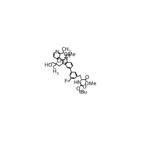 CCn1c(-c2cccnc2[C@H](C)OC)c(CC(C)(C)CO)c2cc(-c3cc(CF)cc(C[C@H](NC(=O)OC(C)(C)C)C(=O)OC)c3)ccc21